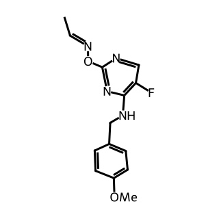 CC=NOc1ncc(F)c(NCc2ccc(OC)cc2)n1